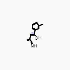 C=C(C=N)/C=C(\NC)c1cccc(C)c1